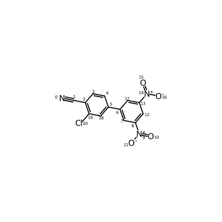 N#Cc1ccc(-c2cc([N+](=O)[O-])cc([N+](=O)[O-])c2)cc1Cl